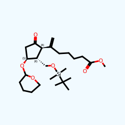 C=C(CCCCC(=O)OC)[C@@H]1C(=O)C[C@H](OC2CCCCO2)[C@H]1CO[Si](C)(C)C(C)(C)C